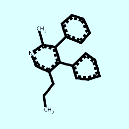 CCCc1[c]nc(C)c(-c2ccccc2)c1-c1ccccc1